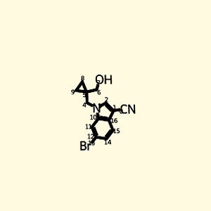 N#Cc1cn(CC2(CO)CC2)c2cc(Br)ccc12